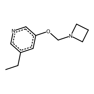 CCc1cncc(OCN2CCC2)c1